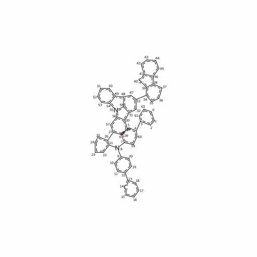 c1ccc(-c2ccc(N(c3ccc(-c4ccccc4)cc3)c3ccccc3-c3ccc4c5cc(-c6cccc7c6sc6ccccc67)cc6c7ccccc7n(c4c3)c65)cc2)cc1